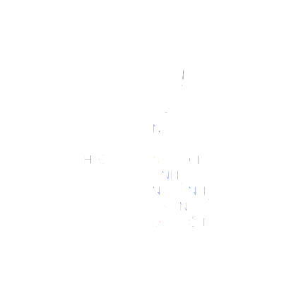 CS/C(=N\C12CC=C3C(CC3C1)C2)SCc1c(C)cccc1N(N)C(=O)N(C)N